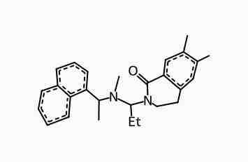 CCC(N1CCc2cc(C)c(C)cc2C1=O)N(C)C(C)c1cccc2ccccc12